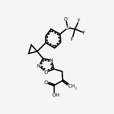 C=C(Cc1nc(C2(c3ccc([S+]([O-])C(F)(F)F)cc3)CC2)no1)C(=O)O